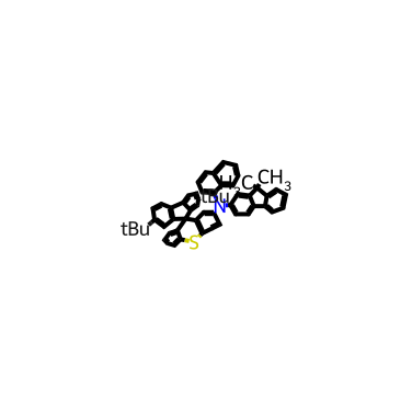 CC(C)(C)c1ccc2c(c1)C1(c3ccccc3Sc3ccc(N(c4ccc5c(c4)C(C)(C)c4ccccc4-5)c4cccc5ccccc45)cc31)c1cc(C(C)(C)C)ccc1-2